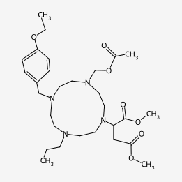 CCCN1CCN(Cc2ccc(OCC)cc2)CCN(COC(C)=O)CCN(C(CC(=O)OC)C(=O)OC)CC1